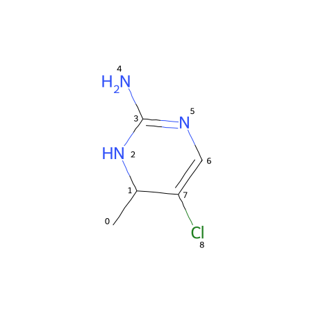 CC1NC(N)=NC=C1Cl